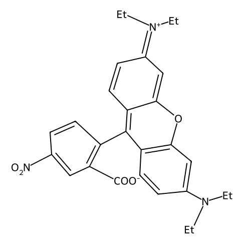 CCN(CC)c1ccc2c(-c3ccc([N+](=O)[O-])cc3C(=O)[O-])c3ccc(=[N+](CC)CC)cc-3oc2c1